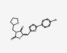 O=C1/C(=C\c2ccc(-c3ccc(Br)cc3)o2)SC(=S)N1CC1CCCO1